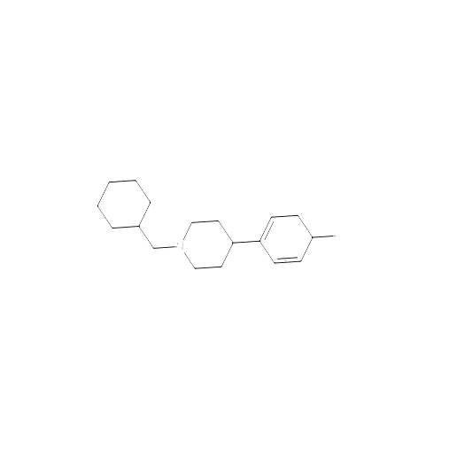 OC1C=CC(C2CCN(CC3CCCCC3)CC2)=CC1